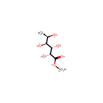 C[C@@H](O)[C@H](O)[C@H](O)[C@@H](O)C(=O)OS(=O)(=O)O